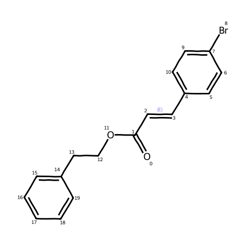 O=C(/C=C/c1ccc(Br)cc1)OCCc1ccccc1